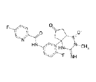 CN1C(=N)NC2(c3cc(NC(=O)c4ccc(F)cn4)ccc3F)CC(=O)CC2[S+]1[O-]